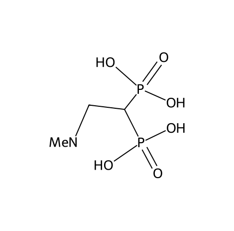 CNCC(P(=O)(O)O)P(=O)(O)O